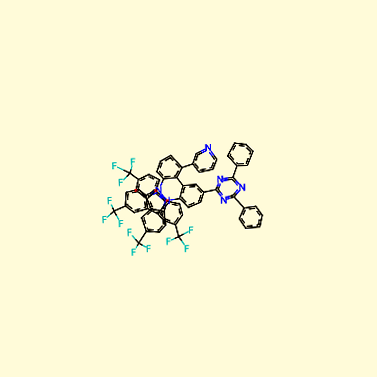 FC(F)(F)c1ccc2c(c1)c1cc(C(F)(F)F)ccc1n2-c1ccc(-c2nc(-c3ccccc3)nc(-c3ccccc3)n2)cc1-c1c(-c2cccnc2)cccc1-n1c2ccc(C(F)(F)F)cc2c2cc(C(F)(F)F)ccc21